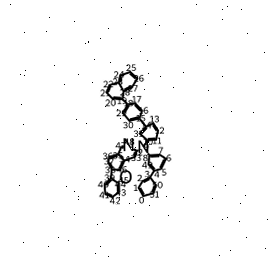 c1ccc(-c2cccc(N(c3cccc(-c4ccc(-c5cccc6ccccc56)cc4)c3)c3cc4c(ccc5c6ccccc6oc45)cn3)c2)cc1